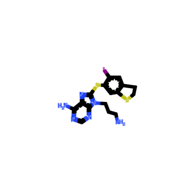 NCCCn1c(Sc2cc3c(cc2I)CCS3)nc2c(N)ncnc21